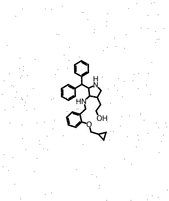 OCCC1CNC(C(c2ccccc2)c2ccccc2)C1NCc1ccccc1OCC1CC1